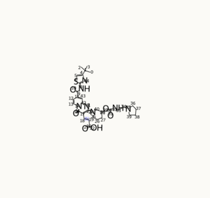 CC(C)(C)c1csc(NC(=O)c2ccn3c(=O)c(/C=C/C(=O)O)c(N4CCC[C@@H](OC(=O)NCCN5CCCC5)C4)nc3c2)n1